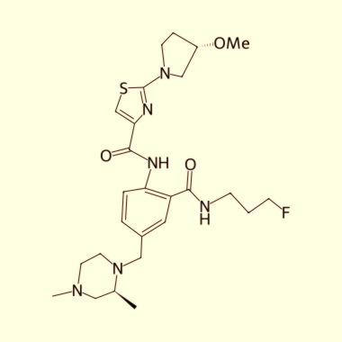 CO[C@H]1CCN(c2nc(C(=O)Nc3ccc(CN4CCN(C)C[C@@H]4C)cc3C(=O)NCCCF)cs2)C1